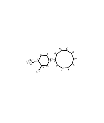 CC1CCN(C2CCCCCCCCC2)CC1I